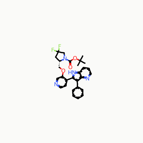 CC(C)(C)OC(=O)N1CC(F)(F)C[C@H]1COc1cnccc1-c1[nH]c2cccnc2c1-c1ccccc1